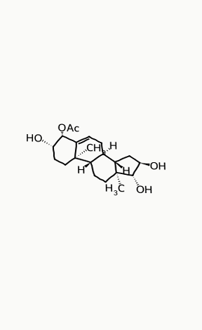 CC(=O)O[C@@H]1C2=CC[C@H]3[C@@H]4C[C@@H](O)[C@H](O)[C@@]4(C)CC[C@@H]3[C@@]2(C)CC[C@@H]1O